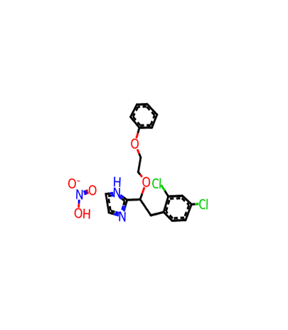 Clc1ccc(CC(OCCOc2ccccc2)c2ncc[nH]2)c(Cl)c1.O=[N+]([O-])O